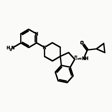 Nc1ccnc(N2CCC3(CC2)C[C@H](NC(=O)C2CC2)c2ccccc23)c1